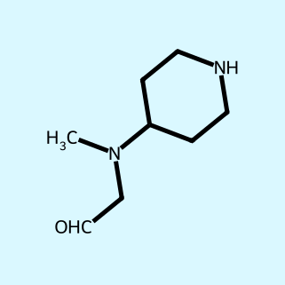 CN(CC=O)C1CCNCC1